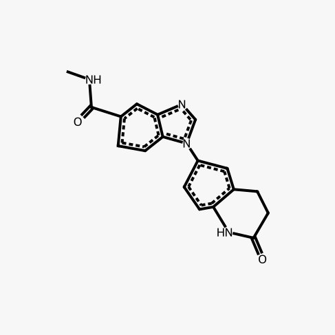 CNC(=O)c1ccc2c(c1)ncn2-c1ccc2c(c1)CCC(=O)N2